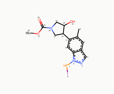 Cc1cc2cnn(PI)c2cc1C1CN(C(=O)OC(C)(C)C)CC1O